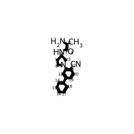 C[C@H](N)C(=O)N[C@H]1CCN(c2cc(-c3ccccc3)ccc2C#N)C1